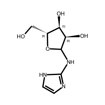 OC[C@H]1OC(Nc2ncc[nH]2)[C@H](O)[C@@H]1O